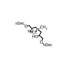 CCCCCCCCCCOCC(O)C[N+](C)(C)CC(O)COCCCCCCCCCC